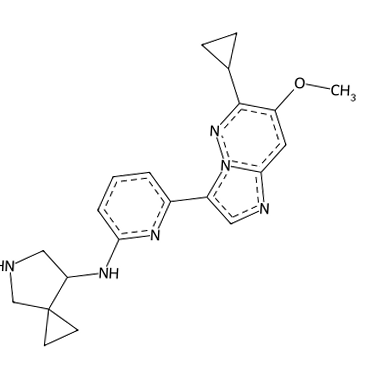 COc1cc2ncc(-c3cccc(NC4CNCC45CC5)n3)n2nc1C1CC1